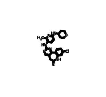 Cc1nc(NC2CCOCC2)ccc1Nc1ncc2c(n1)-c1ccc(Cl)cc1NC(=S)C2